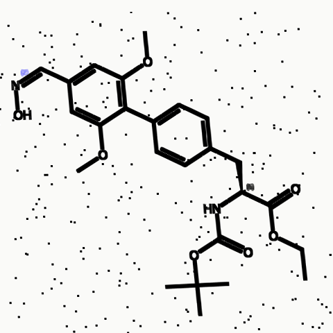 CCOC(=O)[C@H](Cc1ccc(-c2c(OC)cc(/C=N\O)cc2OC)cc1)NC(=O)OC(C)(C)C